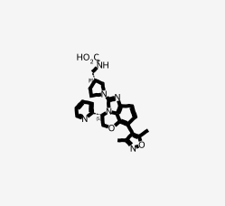 Cc1noc(C)c1-c1ccc2nc(N3CC[C@H](CNC(=O)O)C3)n3c2c1OC[C@@H]3c1ccccn1